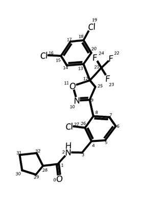 O=C(NCc1cccc(C2=NOC(c3cc(Cl)cc(Cl)c3)(C(F)(F)F)C2)c1Cl)C1CCCC1